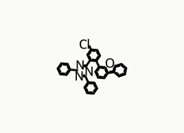 Clc1ccc(-c2cccc3c2oc2ccccc23)c(-c2nc(-c3ccccc3)nc(-c3ccccc3)n2)c1